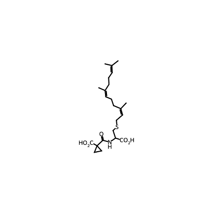 CC(C)=CCCC(C)=CCCC(C)=CCSCC(NC(=O)C1(C(=O)O)CC1)C(=O)O